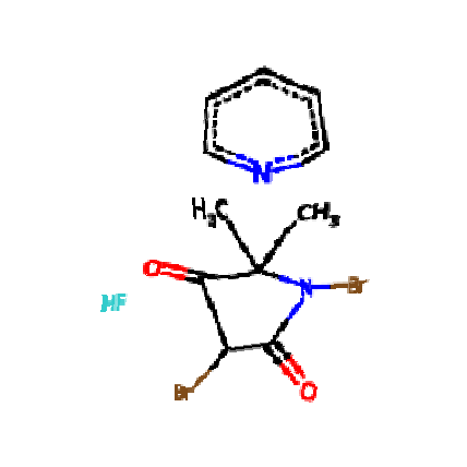 CC1(C)C(=O)C(Br)C(=O)N1Br.F.c1ccncc1